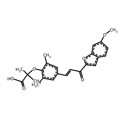 COc1ccc2cc(C(=O)C=Cc3cc(C)c(OC(C)(C)C(=O)O)c(C)c3)oc2c1